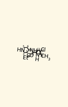 CCO[C@H]1CNCC[C@H]1NC(=O)c1cc(Cl)c(C)[nH]1